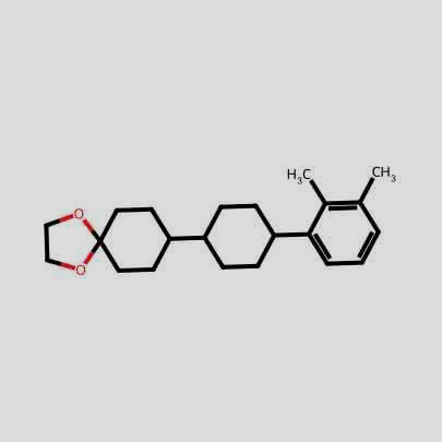 Cc1cccc(C2CCC(C3CCC4(CC3)OCCO4)CC2)c1C